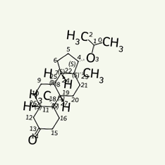 CC(C)O[C@H]1CC[C@H]2[C@@H]3CC[C@H]4CC(=O)CC[C@]4(C)[C@H]3CC[C@]12C